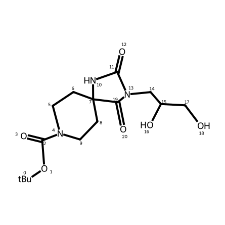 CC(C)(C)OC(=O)N1CCC2(CC1)NC(=O)N(CC(O)CO)C2=O